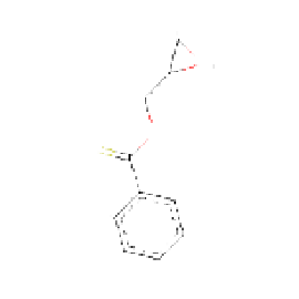 S=C(OCC1CO1)c1ccccc1